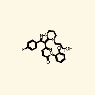 Cc1ccccc1-n1nc(-c2c(-c3ccc(F)cc3)nn3c2N(CCCO)CCC3)ccc1=O